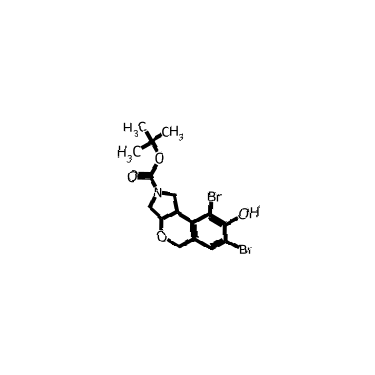 CC(C)(C)OC(=O)N1CC2OCc3cc(Br)c(O)c(Br)c3C2C1